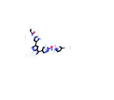 C=CC(=O)Nc1cncc(-c2cnc3[nH]cc(-c4ccc(C(=O)Nc5ccc(C(C)C)cn5)nc4)c3c2)c1